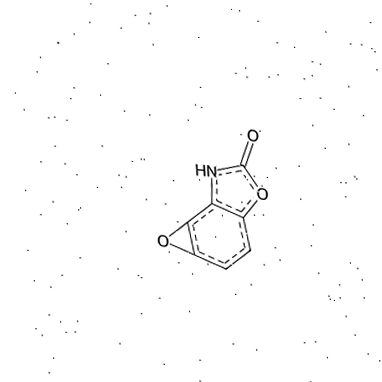 O=c1[nH]c2c3c(ccc2o1)O3